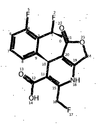 C[C@H](F)c1c(F)cccc1[C@@H]1C(C(=O)O)=C(CF)NC2=C1C(=O)OC2